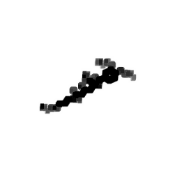 COCCCNC(=O)CC(=O)Cc1nc(-c2ccc(OC)c(OC)c2)oc1C